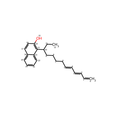 C=CC=CC=CCCCCC(CC)c1c(O)ccc2ccccc12